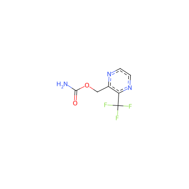 NC(=O)OCc1nccnc1C(F)(F)F